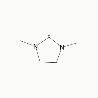 CN1[C]N(C)CC1